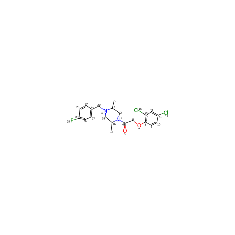 CC1CN(C(=O)COc2ccc(Cl)cc2Cl)C(C)CN1Cc1ccc(F)cc1